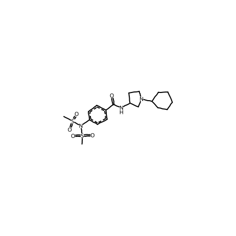 CS(=O)(=O)N(c1ccc(C(=O)NC2CCN(C3CCCCC3)C2)cc1)S(C)(=O)=O